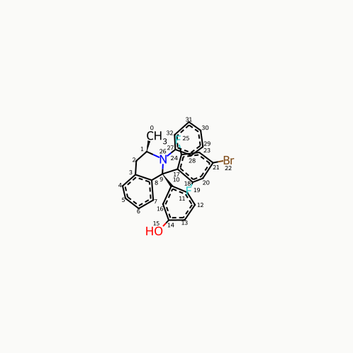 C[C@@H]1Cc2ccccc2[C@@](c2cccc(O)c2)(c2c(F)cc(Br)cc2F)N1c1ccccc1